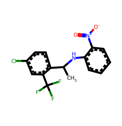 CC(Nc1ccccc1[N+](=O)[O-])c1ccc(Cl)cc1C(F)(F)F